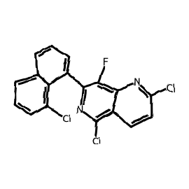 Fc1c(-c2cccc3cccc(Cl)c23)nc(Cl)c2ccc(Cl)nc12